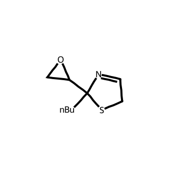 CCCCC1(C2CO2)N=CCS1